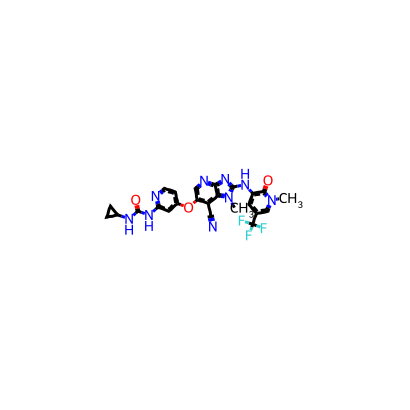 Cn1cc(C(F)(F)F)cc(Nc2nc3ncc(Oc4ccnc(NC(=O)NC5CC5)c4)c(C#N)c3n2C)c1=O